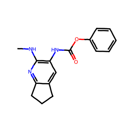 CNc1nc2c(cc1NC(=O)Oc1ccccc1)CCC2